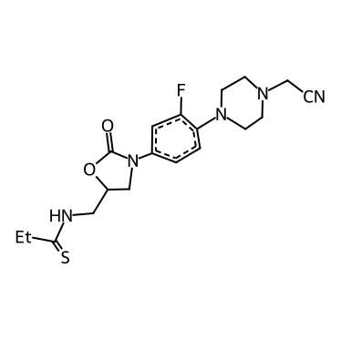 CCC(=S)NCC1CN(c2ccc(N3CCN(CC#N)CC3)c(F)c2)C(=O)O1